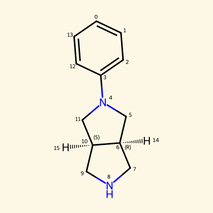 c1ccc(N2C[C@H]3CNC[C@H]3C2)cc1